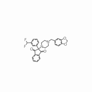 O=C1c2ccccc2C(=O)C1(c1cccc(C(F)F)c1)N1CCN(Cc2ccc3c(c2)OCO3)CC1